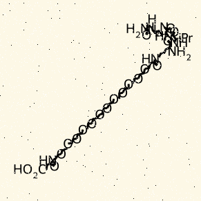 CC(C)[C@H](NC(=O)[C@@H](N)CCCCNC(=O)CCOCCOCCOCCOCCOCCOCCOCCOCCOCCOCCOCCOCCNC(=O)CCC(=O)O)C(=O)N[C@@H](CCCNC(N)=O)C(N)=O